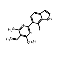 C=Cc1c(N)nc(-c2ccc3cc[nH]c3c2F)nc1C(=O)O